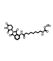 CC(C)(C)OC(=O)NCCCCCCCC(=O)Nc1cccc2c1C(=O)N(C1CCC(=O)NC1=O)C2=O